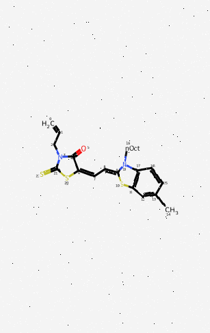 C=CCN1C(=O)/C(=C\C=C2/Sc3cc(C)ccc3N2CCCCCCCC)SC1=S